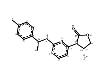 Cc1ccc([C@H](C)Nc2nccc(N3C(=O)OC[C@@H]3C(C)C)n2)cc1